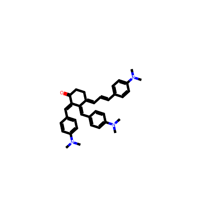 CN(C)c1ccc(C=CC=C2CCC(=O)C(=Cc3ccc(N(C)C)cc3)C2=Cc2ccc(N(C)C)cc2)cc1